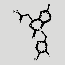 O=C(O)Cc1cc(=O)n(Cc2ccc(Br)c(Cl)c2)c2ccc(F)cc12